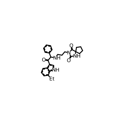 CCc1cccc2c(C(=O)C(NCCCN3C(=O)NC4(CCCC4)C3=O)c3ccccc3)c[nH]c12